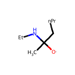 CCCCC(C)([O])NCC